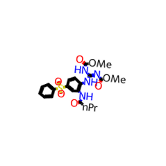 CCCC(=O)Nc1cc(S(=O)(=O)c2ccccc2)ccc1NC(=NC(=O)OC)NC(=O)OC